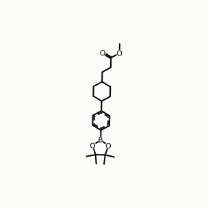 COC(=O)CCC1CCC(c2ccc(B3OC(C)(C)C(C)(C)O3)cc2)CC1